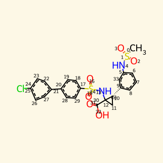 CS(=O)(=O)Nc1cccc([C@@H]2CC2(NS(=O)(=O)c2ccc(-c3ccc(Cl)cc3)cc2)C(=O)O)c1